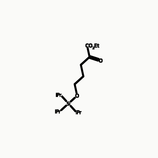 CCOC(=O)C(=O)CCCO[Si](C(C)C)(C(C)C)C(C)C